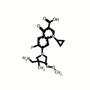 CO/N=C1\CN(c2cc3c(cc2F)c(=O)c(C(=O)O)cn3C2CC2)CC1(C)CN